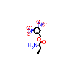 C#CCC(N)C(=O)OCc1cc([N+](=O)[O-])cc([N+](=O)[O-])c1